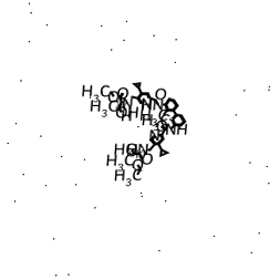 CCOC(=O)[C@@H](NCc1cnc(C(=O)Nc2cccc(-c3cccc(NC(=O)c4cc(C5CC5)c(CN[C@H](C(=O)OCC)[C@@H](C)O)cn4)c3C)c2C)cc1C1CC1)[C@@H](C)O